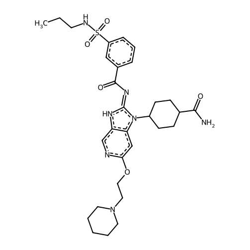 CCCNS(=O)(=O)c1cccc(C(=O)/N=c2\[nH]c3cnc(OCCN4CCCCC4)cc3n2C2CCC(C(N)=O)CC2)c1